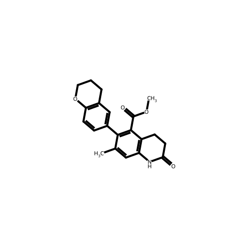 COC(=O)c1c2c(cc(C)c1-c1ccc3c(c1)CCCO3)NC(=O)CC2